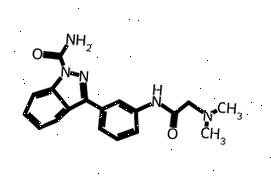 CN(C)CC(=O)Nc1cccc(-c2nn(C(N)=O)c3ccccc23)c1